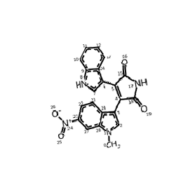 Cn1cc(C2=C(c3c[nH]c4ccccc34)C(=O)NC2=O)c2ccc([N+](=O)[O-])cc21